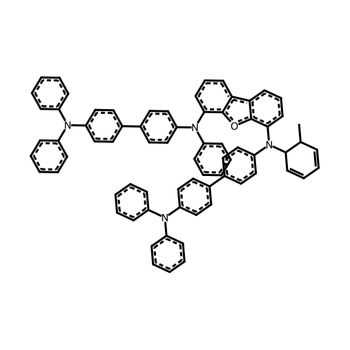 CC1C=CC=CC1N(c1ccc(-c2ccc(N(c3ccccc3)c3ccccc3)cc2)cc1)c1cccc2c1oc1c(N(c3ccccc3)c3ccc(-c4ccc(N(c5ccccc5)c5ccccc5)cc4)cc3)cccc12